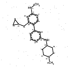 CNc1ncc(-c2ccnc(NC3CCN(C)CC3)n2)c(CC2CC2)n1